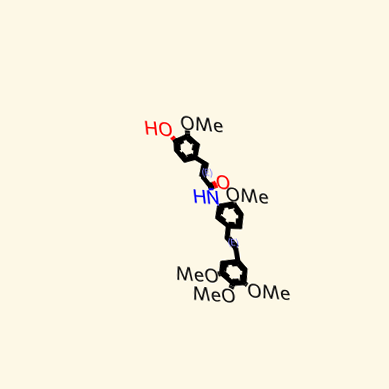 COc1cc(/C=C/C(=O)Nc2cc(/C=C/c3cc(OC)c(OC)c(OC)c3)ccc2OC)ccc1O